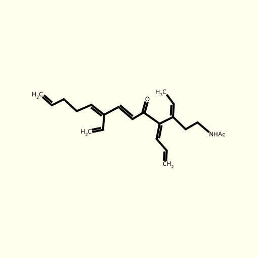 C=C/C=C(C(=O)/C=C/C(C=C)=C/CCC=C)\C(=C/C)CCNC(C)=O